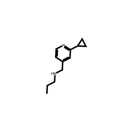 CCCNCc1ccnc(C2CC2)c1